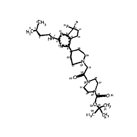 CC(C)CCNc1nc(C2CCN(CC(=O)N3CCN(C(=O)OC(C)(C)C)CC3)CC2)c2c(n1)C(F)(F)CC2